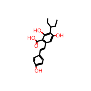 CCC(CC)c1c(O)cc(/C=C/c2ccc(O)cc2)c(C(=O)O)c1O